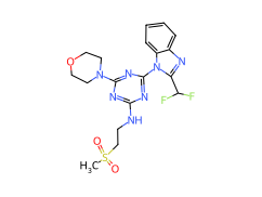 CS(=O)(=O)CCNc1nc(N2CCOCC2)nc(-n2c(C(F)F)nc3ccccc32)n1